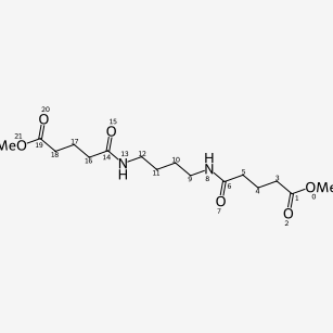 COC(=O)CCCC(=O)NCCCCNC(=O)CCCC(=O)OC